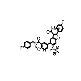 CNC(=O)c1c(-c2ccc(F)cc2)oc2cc(N(C)S(C)(=O)=O)c(-c3cnc4c(c3)C(=O)N(Cc3ccc(F)cc3)CO4)cc12